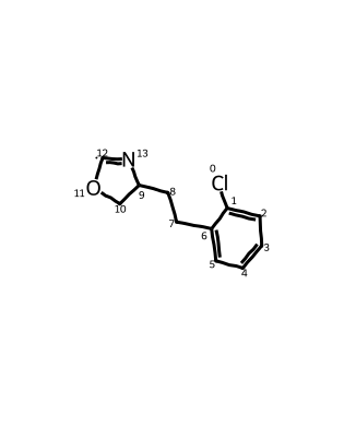 Clc1ccccc1CCC1CO[C]=N1